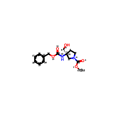 CC(C)(C)OC(=O)N1CC[C@](CO)(NC(=O)OCc2ccccc2)C1